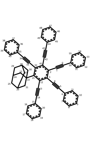 C(#Cc1c(C#Cc2ccccc2)c(C#Cc2ccccc2)c(C23CC4CC(CC(C4)C2)C3)c(C#Cc2ccccc2)c1C#Cc1ccccc1)c1ccccc1